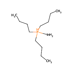 CCCC[PH]([InH2])(CCCC)CCCC